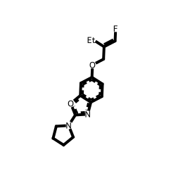 CC/C(=C\F)COc1ccc2nc(N3CCCC3)oc2c1